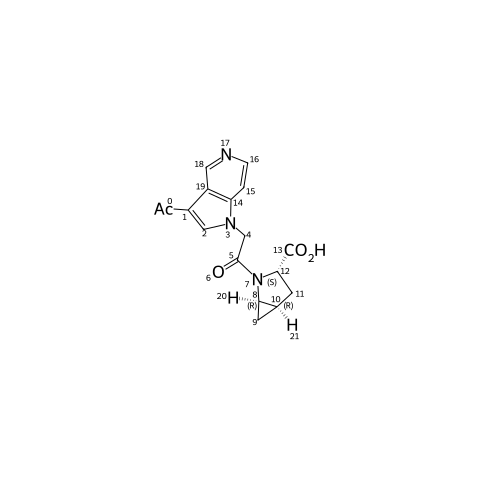 CC(=O)c1cn(CC(=O)N2[C@@H]3C[C@@H]3C[C@H]2C(=O)O)c2ccncc12